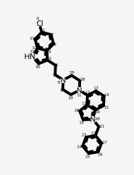 Clc1ccc2c(CCN3CCN(c4cccc5c4ccn5Cc4ccccc4)CC3)c[nH]c2c1